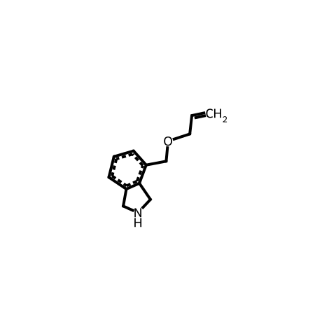 C=CCOCc1cccc2c1CNC2